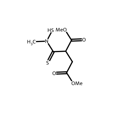 COC(=O)CC(C(=O)OC)C(=S)N(C)S